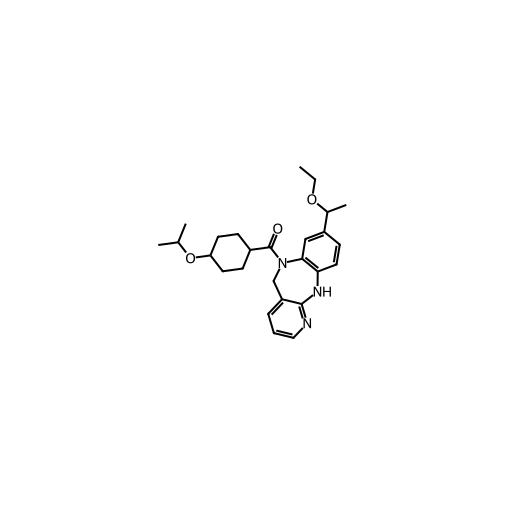 CCOC(C)c1ccc2c(c1)N(C(=O)C1CCC(OC(C)C)CC1)Cc1cccnc1N2